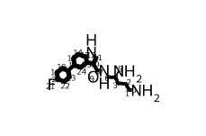 NCCC[C@H](N)CNC(=O)c1c[nH]c2ccc(-c3ccc(F)cc3)cc12